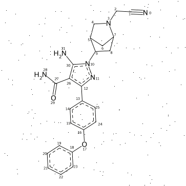 N#CCN1CC2CC1CC2n1nc(-c2ccc(Oc3ccccc3)cc2)c(C(N)=O)c1N